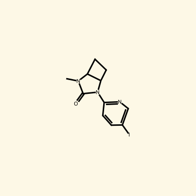 CN1C(=O)N(c2ccc(I)cn2)C2CCC21